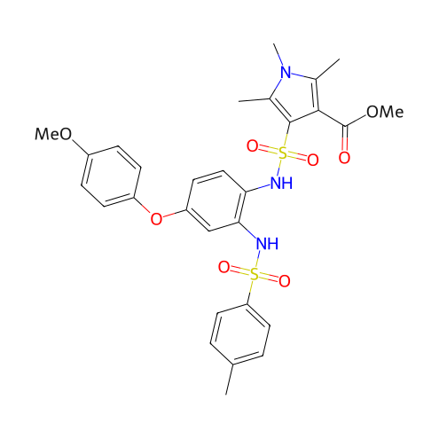 COC(=O)c1c(S(=O)(=O)Nc2ccc(Oc3ccc(OC)cc3)cc2NS(=O)(=O)c2ccc(C)cc2)c(C)n(C)c1C